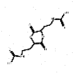 O=C(O)NCCC1OC(=O)C(CCNC(=O)O)OC1=O